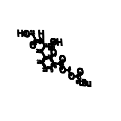 CC(C)(C)C(=O)OCOC(=O)c1cccc2c1OB(O)[C@@H](NC(=O)CO)C2